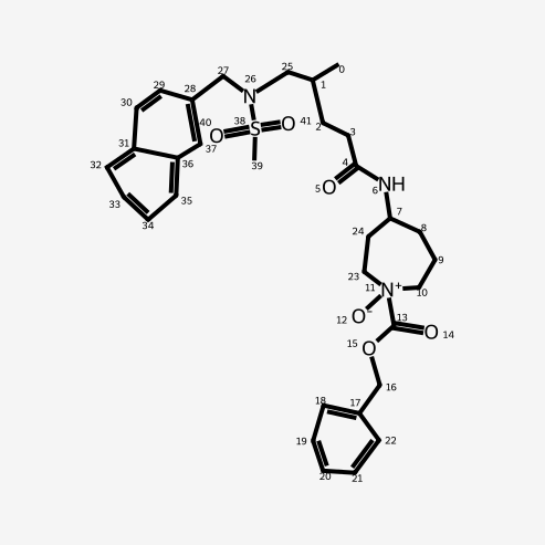 CC(CCC(=O)NC1CCC[N+]([O-])(C(=O)OCc2ccccc2)CC1)CN(Cc1ccc2ccccc2c1)S(C)(=O)=O